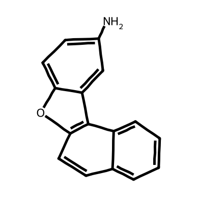 Nc1ccc2oc3ccc4ccccc4c3c2c1